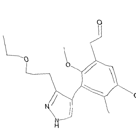 CCOCCc1n[nH]cc1-c1c(C)c(Cl)cc(CC=O)c1OC